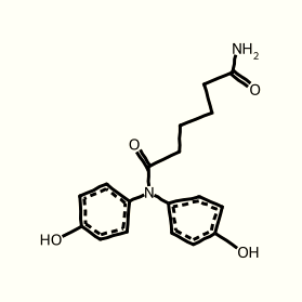 NC(=O)CCCCC(=O)N(c1ccc(O)cc1)c1ccc(O)cc1